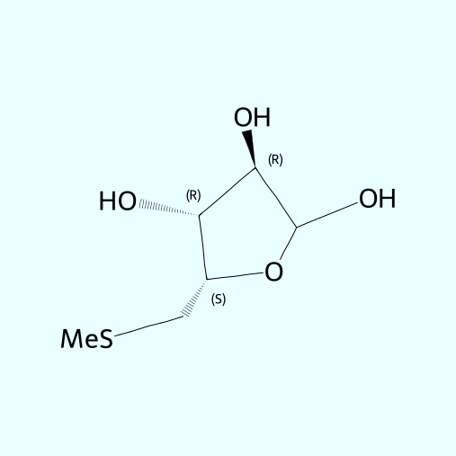 CSC[C@H]1OC(O)[C@H](O)[C@H]1O